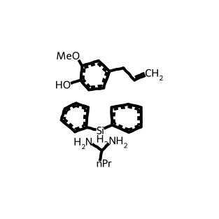 C=CCc1ccc(O)c(OC)c1.CCCC(N)N.c1ccc([SiH2]c2ccccc2)cc1